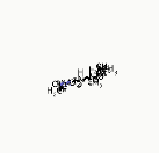 C=C(CCNC(=O)CO/C=C/C=C(/Cl)C(=C)F)NC(=O)C1CC(C)N(C)OO1